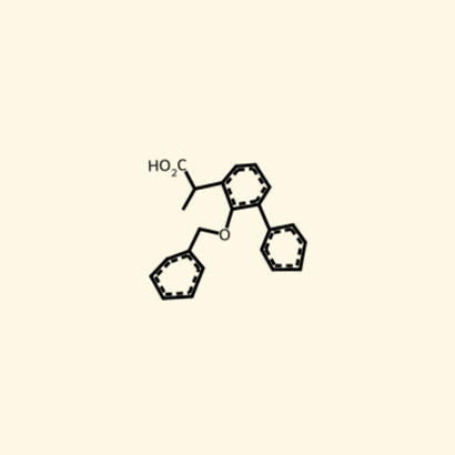 CC(C(=O)O)c1cccc(-c2ccccc2)c1OCc1ccccc1